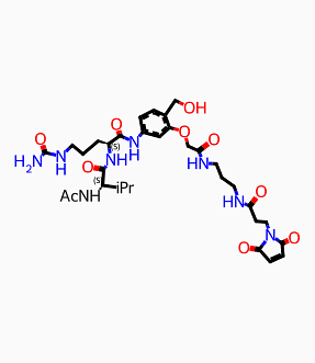 CC(=O)N[C@H](C(=O)N[C@@H](CCCNC(N)=O)C(=O)Nc1ccc(CO)c(OCC(=O)NCCCNC(=O)CCN2C(=O)C=CC2=O)c1)C(C)C